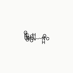 CN1C(=O)CCC(N2C(=O)c3cccc(NCCCCCCNC(=O)c4ccccc4)c3C2=O)C1=O